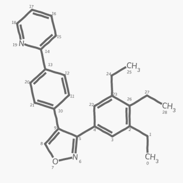 CCc1cc(-c2nocc2-c2ccc(-c3ccccn3)cc2)cc(CC)c1CC